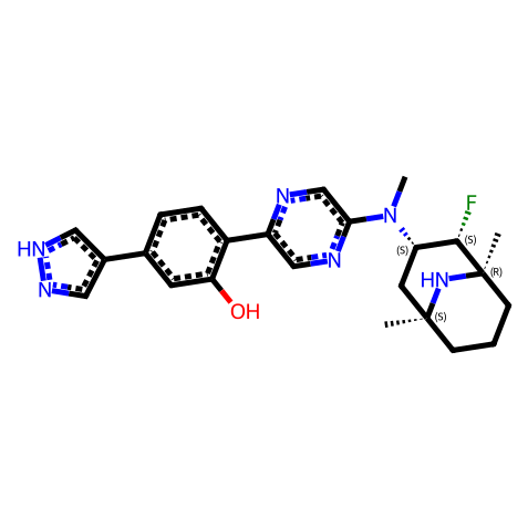 CN(c1cnc(-c2ccc(-c3cn[nH]c3)cc2O)cn1)[C@H]1C[C@]2(C)CCC[C@@](C)(N2)[C@H]1F